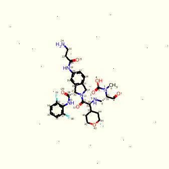 CN(C(=O)O)[C@H](C=O)CN[C@H](C(=O)N1Cc2ccc(NC(=O)CCN)cc2[C@H]1C(=O)Nc1c(F)cccc1F)C1CCOCC1